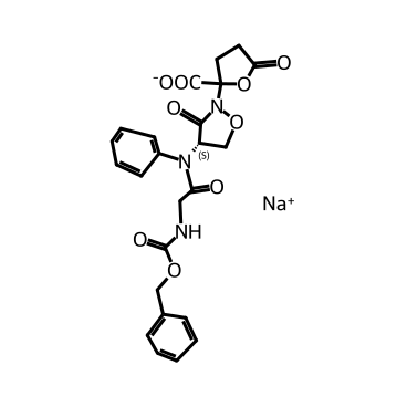 O=C1CCC(C(=O)[O-])(N2OC[C@H](N(C(=O)CNC(=O)OCc3ccccc3)c3ccccc3)C2=O)O1.[Na+]